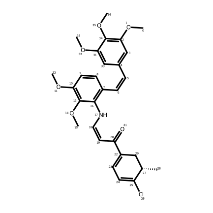 COc1cc(/C=C\c2ccc(OC)c(OC)c2N/C=C\C(=O)C2=CC=C(Cl)[C@@H](C)C2)cc(OC)c1OC